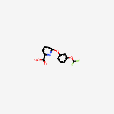 O=C(O)c1cccc(Oc2cccc(OC(F)F)c2)n1